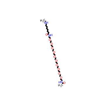 CCNCCCCCCCC(=O)NCCOCCOCCOCCOCCOCCOCCOCCOCCOCCOCCNC(C)=O